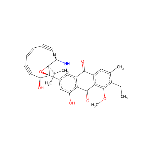 CCc1c(C)cc2c(c1OC)C(=O)c1c(O)cc3c(c1C2=O)N[C@H]1C#C/C=C\C#C[C@H](O)[C@@]32O[C@@]12C(C)C